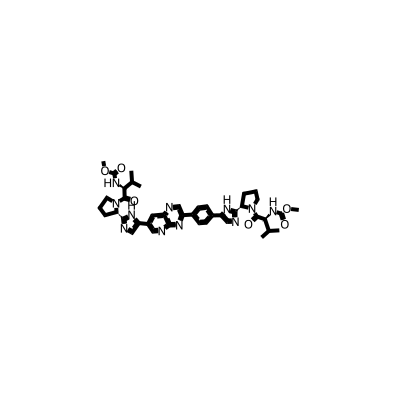 COC(=O)N[C@H](C(=O)N1CCC[C@H]1c1ncc(-c2ccc(-c3cnc4cc(-c5cnc([C@@H]6CCCN6C(=O)[C@@H](NC(=O)OC)C(C)C)[nH]5)cnc4n3)cc2)[nH]1)C(C)C